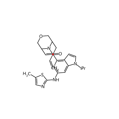 C=CC(=O)N1C2C=C(c3nc(Nc4ncc(C)s4)cc4c3ccn4C(C)C)CC1COC2